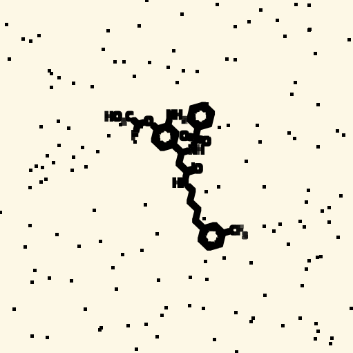 Nc1cc(C(CC(=O)NCCCCc2cccc(C(F)(F)F)c2)NS(=O)(=O)c2ccccc2)ccc1OC(F)C(=O)O